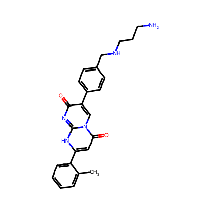 Cc1ccccc1-c1cc(=O)n2cc(-c3ccc(CNCCCN)cc3)c(=O)nc2[nH]1